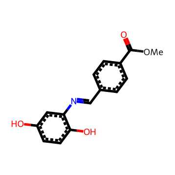 COC(=O)c1ccc(/C=N/c2cc(O)ccc2O)cc1